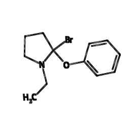 CCN1CCCC1(Br)Oc1ccccc1